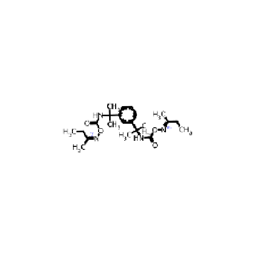 CC/C(C)=N\OC(=O)NC(C)(C)c1cccc(C(C)(C)NC(=O)O/N=C(\C)CC)c1